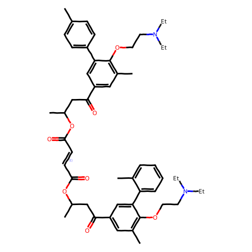 CCN(CC)CCOc1c(C)cc(C(=O)CC(C)OC(=O)/C=C/C(=O)OC(C)CC(=O)c2cc(C)c(OCCN(CC)CC)c(-c3ccccc3C)c2)cc1-c1ccc(C)cc1